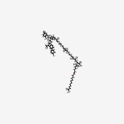 COC(=O)CCCCCCCCCCCCCCCCC(=O)N[C@@H](CCC(=O)NCCOCCOCC(=O)NCCOCCOCC(=O)NC[C@@]1(C)C[C@@H](C(=O)Nc2nc(Br)ccc2C)N(C(=O)Cn2nc(C(C)=O)c3cc(-c4cnc(C)nc4)ncc32)C1)C(=O)OC